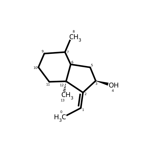 C/C=C1/[C@H](O)CC2C(C)CCC[C@]12C